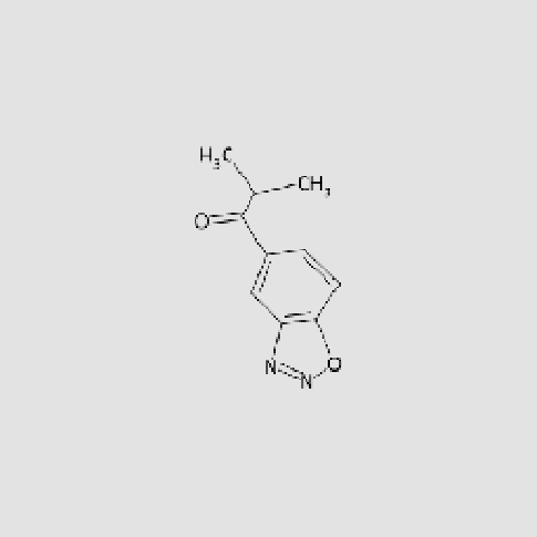 CC(C)C(=O)c1ccc2onnc2c1